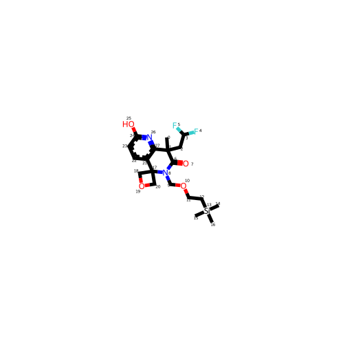 CC1(CC(F)F)C(=O)N(COCC[Si](C)(C)C)C2(COC2)c2ccc(O)nc21